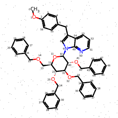 COc1ccc(Cc2cn([C@@H]3O[C@H](COCc4ccccc4)[C@@H](OCc4ccccc4)[C@H](OCc4ccccc4)[C@H]3OCc3ccccc3)c3ncccc23)cc1